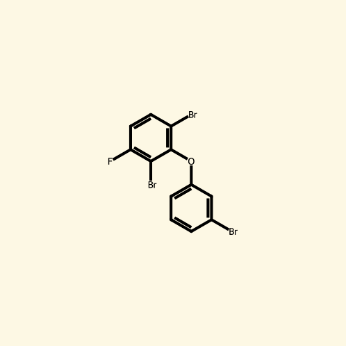 Fc1ccc(Br)c(Oc2cccc(Br)c2)c1Br